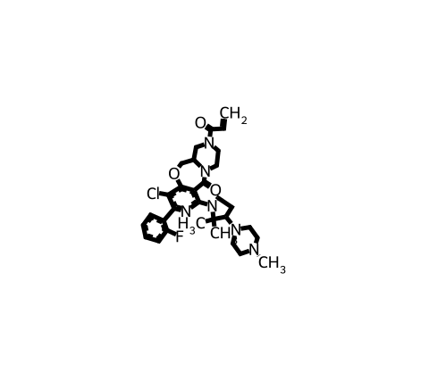 C=CC(=O)N1CCN2C(=O)c3c(N4CCC(N5CCN(C)CC5)C4(C)C)nc(-c4ccccc4F)c(Cl)c3OCC2C1